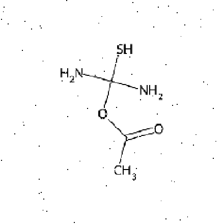 CC(=O)OC(N)(N)S